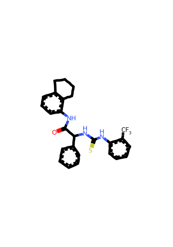 O=C(Nc1cccc2c1CCCC2)C(NC(=S)Nc1ccccc1C(F)(F)F)c1ccccc1